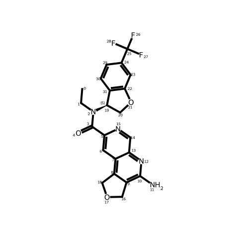 CCN(C(=O)c1cc2c3c(c(N)nc2cn1)COC3)[C@@H]1COc2cc(C(F)(F)F)ccc21